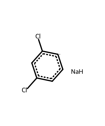 Clc1[c]ccc(Cl)c1.[NaH]